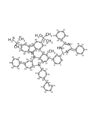 Cc1c(-c2cccc(C3N=C(c4ccccc4)N=C(c4ccccc4)N3)c2)cc2c3c1-c1cc(C(C)(C)C)cc4c5cc(C(C)(C)C)ccc5n(c14)B3c1cc(-c3ccccc3)ccc1N2c1ccc(-c2ccccc2)cc1